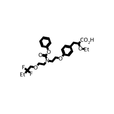 CCOC(Cc1ccc(OCCN(CCOCC(F)(F)CC)C(=O)Oc2ccccc2)cc1)C(=O)O